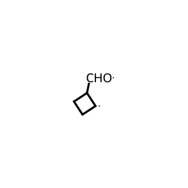 O=[C]C1[CH]CC1